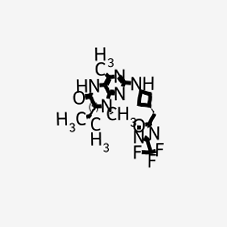 Cc1nc(N[C@H]2C[C@@H](Cc3nc(C(F)(F)F)no3)C2)nc2c1NC(=O)[C@H](C(C)C)N2C